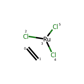 C=C.[Cl][Ru]([Cl])[Cl]